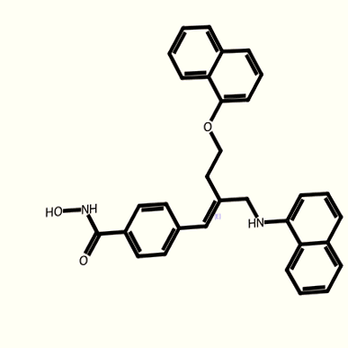 O=C(NO)c1ccc(/C=C(\CCOc2cccc3ccccc23)CNc2cccc3ccccc23)cc1